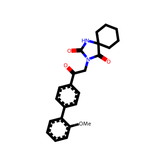 COc1ccccc1-c1ccc(C(=O)CN2C(=O)NC3(CCCCC3)C2=O)cc1